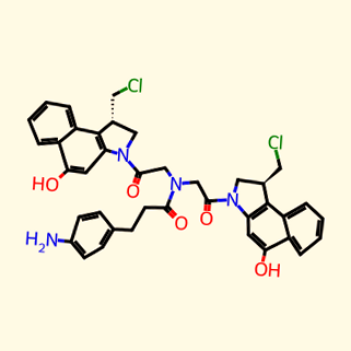 Nc1ccc(CCC(=O)N(CC(=O)N2C[C@@H](CCl)c3c2cc(O)c2ccccc32)CC(=O)N2C[C@@H](CCl)c3c2cc(O)c2ccccc32)cc1